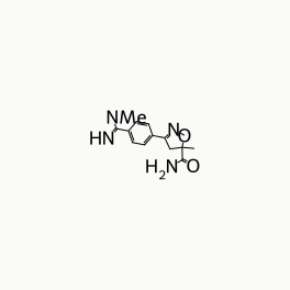 CNC(=N)c1ccc(C2=NOC(C)(C(N)=O)C2)cc1